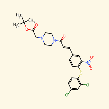 CC(C)(C)OC(=O)CN1CCN(C(=O)C=Cc2ccc(Sc3ccc(Cl)cc3Cl)c([N+](=O)[O-])c2)CC1